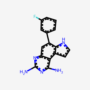 Nc1nc(N)c2c(cc(-c3cccc(F)c3)c3[nH]ccc32)n1